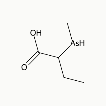 CCC([AsH]C)C(=O)O